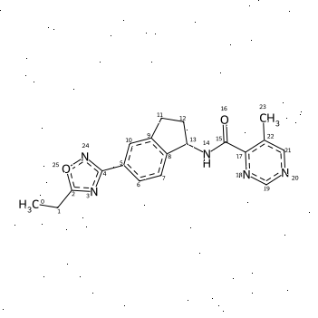 CCc1nc(-c2ccc3c(c2)CCC3NC(=O)c2ncncc2C)no1